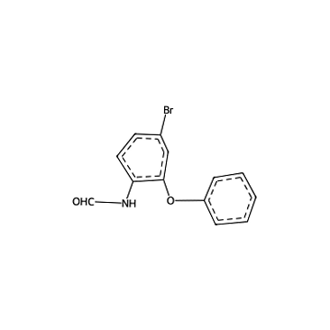 O=CNc1ccc(Br)cc1Oc1ccccc1